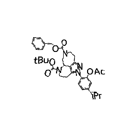 CC(=O)Oc1cc(C(C)C)ccc1-n1nc2c3c1CCN(C(=O)OC(C)(C)C)C3CN(C(=O)OCc1ccccc1)CC2